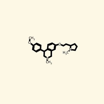 COc1ccc(C2CN(C)Cc3cc(OCCC4CCCN4C)ccc32)cc1